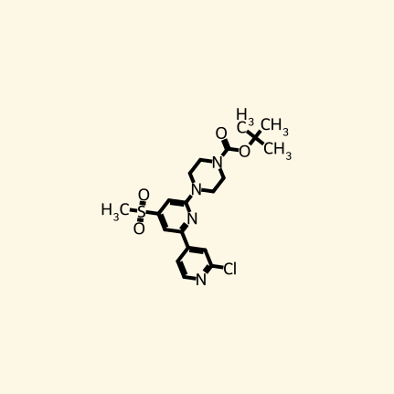 CC(C)(C)OC(=O)N1CCN(c2cc(S(C)(=O)=O)cc(-c3ccnc(Cl)c3)n2)CC1